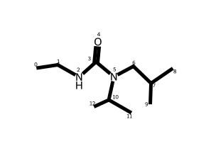 CCNC(=O)N(CC(C)C)C(C)C